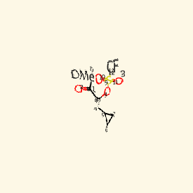 COC(=O)[C@@H](CC1CC1)OS(=O)(=O)C(F)(F)F